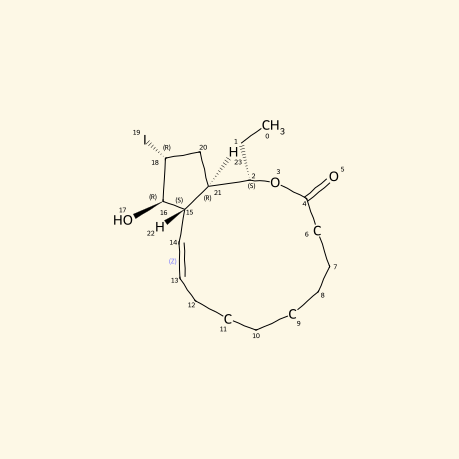 CC[C@@H]1OC(=O)CCCCCCC/C=C\[C@@H]2[C@@H](O)[C@H](I)C[C@H]21